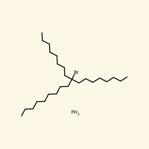 CCCCCCCCCC(Br)(CCCCCCCC)CCCCCCCC.P